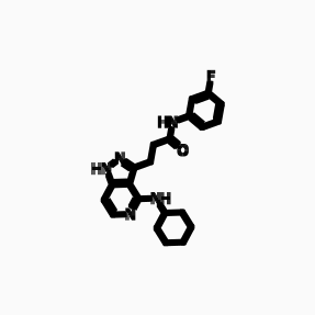 O=C(CCc1n[nH]c2ccnc(NC3CCCCC3)c12)Nc1cccc(F)c1